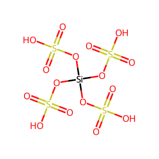 O=S(=O)(O)O[Si](OS(=O)(=O)O)(OS(=O)(=O)O)OS(=O)(=O)O